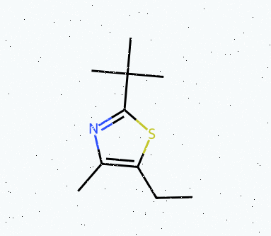 CCc1sc(C(C)(C)C)nc1C